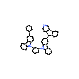 c1ccc(-c2ccc3c(c2)c2ccccc2n3-c2cccc(-n3c4ccccc4c4cc(C5c6ccccc6-c6cnccc65)ccc43)c2)cc1